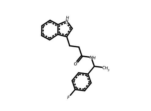 CC(NC(=O)CCc1c[nH]c2ccccc12)c1ccc(F)cc1